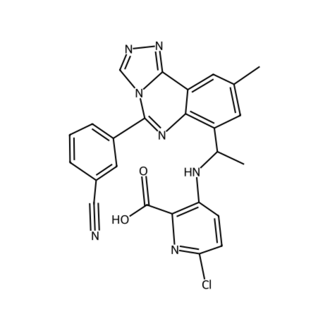 Cc1cc(C(C)Nc2ccc(Cl)nc2C(=O)O)c2nc(-c3cccc(C#N)c3)n3cnnc3c2c1